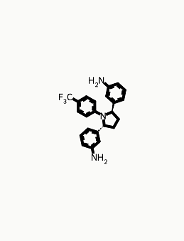 Nc1cccc([C@H]2CC[C@H](c3cccc(N)c3)N2c2ccc(C(F)(F)F)cc2)c1